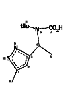 Cc1cc(C(C)N(C(=O)O)C(C)(C)C)ns1